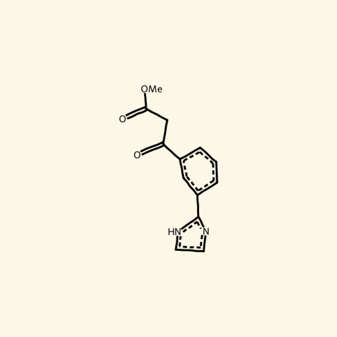 COC(=O)CC(=O)c1cccc(-c2ncc[nH]2)c1